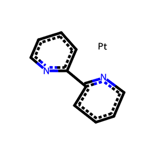 [Pt].c1ccc(-c2ccccn2)nc1